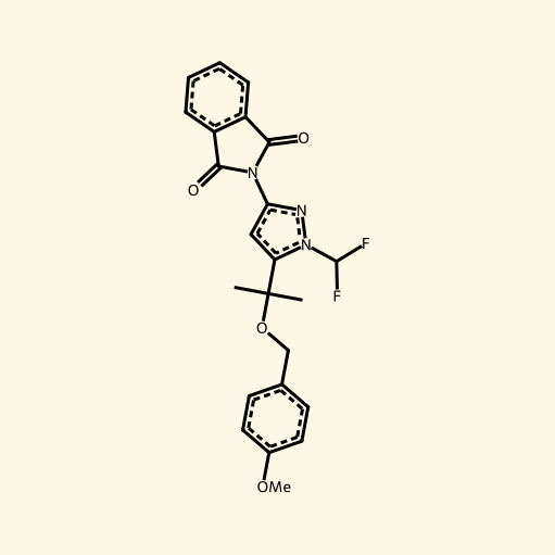 COc1ccc(COC(C)(C)c2cc(N3C(=O)c4ccccc4C3=O)nn2C(F)F)cc1